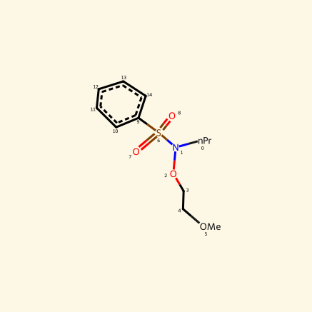 CCCN(OCCOC)S(=O)(=O)c1ccccc1